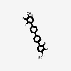 CCOc1ccc(C2=CCC(C3CC=C(c4ccc(C)c(F)c4F)CC3)CC2)c(F)c1F